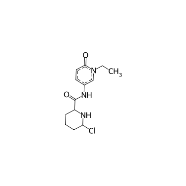 CCn1cc(NC(=O)C2CCCC(Cl)N2)ccc1=O